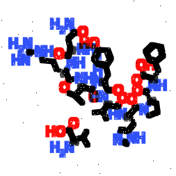 CC(C)[C@H](N)C(=O)O.CC(C)[C@H](NC(=O)[C@H](CCCNC(=N)N)NC(=O)[C@@H](N)CC(N)=O)C(=O)N[C@@H](Cc1ccc(O)cc1)C(=O)N[C@H](C(=O)N[C@@H](Cc1cnc[nH]1)C(=O)N1CCC[C@H]1C(=O)N[C@@H](Cc1ccccc1)C(=O)O)C(C)C